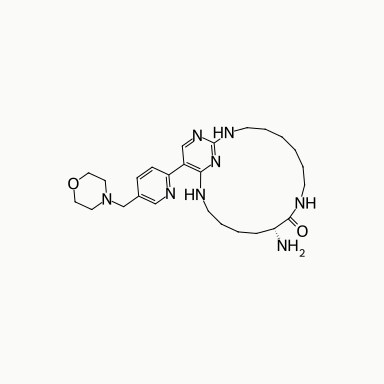 N[C@@H]1CCCCNc2nc(ncc2-c2ccc(CN3CCOCC3)cn2)NCCCCCCNC1=O